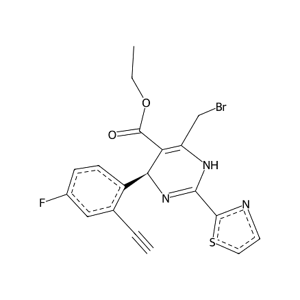 C#Cc1cc(F)ccc1[C@@H]1N=C(c2nccs2)NC(CBr)=C1C(=O)OCC